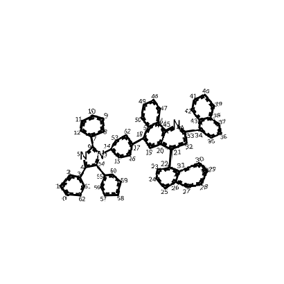 c1ccc(-c2nc(-c3ccccc3)n(-c3ccc(-c4cc5c(-c6cccc7ccccc67)cc(-c6cccc7ccccc67)nc5c5ccccc45)cc3)c2-c2ccccc2)cc1